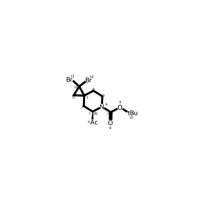 CC(=O)[C@H]1CC2(CCN1C(=O)OC(C)(C)C)CC2(Br)Br